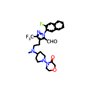 CN(CCc1c(C(F)(F)F)nn(-c2cc3ccccc3cc2F)c1C=O)C1CCN(N2CCOCC2=O)CC1